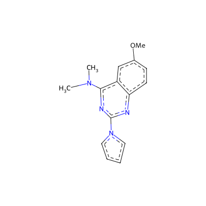 COc1ccc2nc(-n3cccc3)nc(N(C)C)c2c1